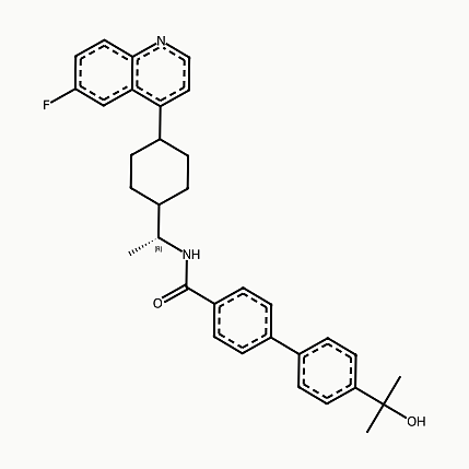 C[C@@H](NC(=O)c1ccc(-c2ccc(C(C)(C)O)cc2)cc1)C1CCC(c2ccnc3ccc(F)cc23)CC1